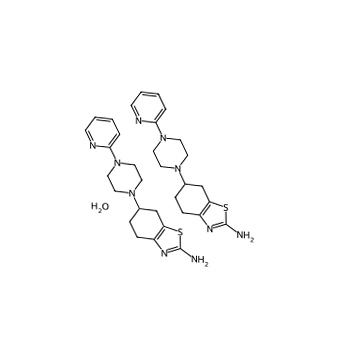 Nc1nc2c(s1)CC(N1CCN(c3ccccn3)CC1)CC2.Nc1nc2c(s1)CC(N1CCN(c3ccccn3)CC1)CC2.O